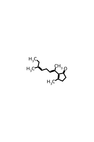 CCC(C)=CCC=C(C)C1=C(C)CCC1=O